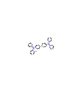 Cc1ccccc1N(c1ccccc1)c1ccc(C2C=CC(N(c3ccccc3)C3C=CC=CC3)=CC2)cc1